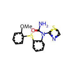 COc1ccccc1Sc1ccccc1N(C(N)=O)c1nccs1